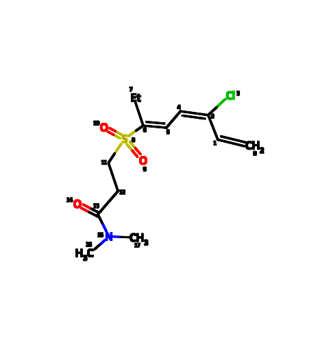 C=C/C(Cl)=C\C=C(/CC)S(=O)(=O)CCC(=O)N(C)C